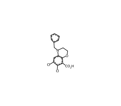 O=C(O)c1c(Cl)c(Cl)cc2c1OCCN2Cc1ccccc1